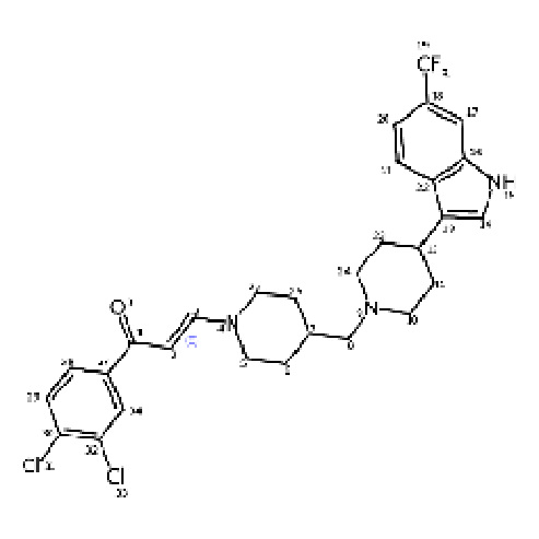 O=C(/C=C/N1CCC(CN2CCC(c3c[nH]c4cc(C(F)(F)F)ccc34)CC2)CC1)c1ccc(Cl)c(Cl)c1